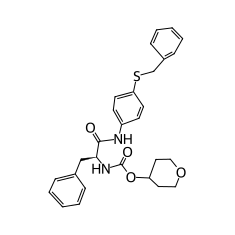 O=C(N[C@@H](Cc1ccccc1)C(=O)Nc1ccc(SCc2ccccc2)cc1)OC1CCOCC1